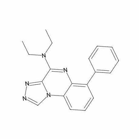 CCN(CC)c1nc2c(-c3ccccc3)cccc2n2cnnc12